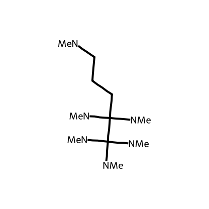 CNCCCC(NC)(NC)C(NC)(NC)NC